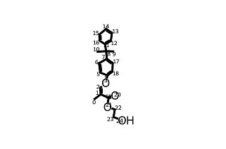 CC(=COc1ccc(C(C)(C)c2ccccc2)cc1)C(=O)OCCO